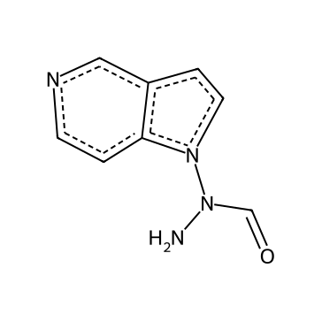 NN(C=O)n1ccc2cnccc21